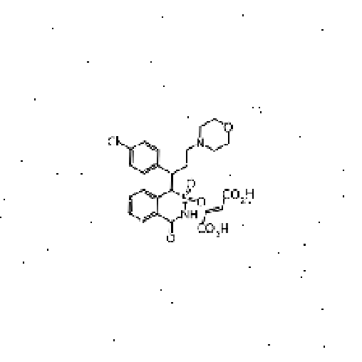 O=C(O)/C=C/C(=O)O.O=C1NS(=O)(=O)C(C(CCN2CCOCC2)c2ccc(Cl)cc2)c2ccccc21